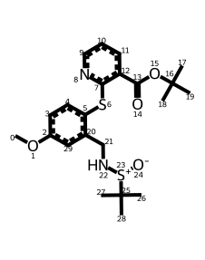 COc1ccc(Sc2ncccc2C(=O)OC(C)(C)C)c(CN[S+]([O-])C(C)(C)C)c1